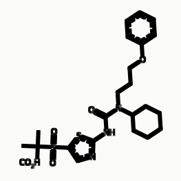 CC(C)(C(=O)O)S(=O)(=O)c1cnc(NC(=O)N(CCCOc2ccccc2)C2CCCCC2)s1